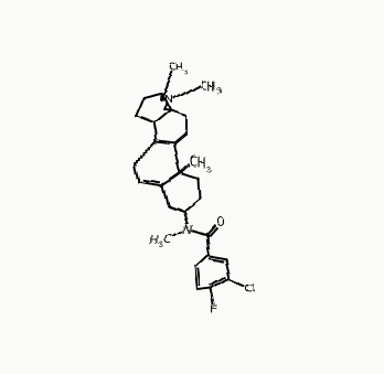 CC1C2CCC3C4CC=C5CC(N(C)C(=O)c6ccc(F)c(Cl)c6)CCC5(C)C4CCC32CN1C